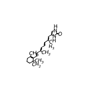 CC1=C(/C=C/C(C)=C/C=C/C(C)=C/c2c[nH]c(=O)[nH]2)C(C)(C)CCC1